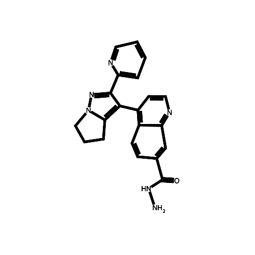 NNC(=O)c1ccc2c(-c3c(-c4ccccn4)nn4c3CCC4)ccnc2c1